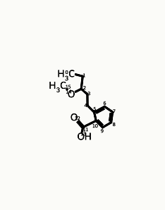 CCC(CCc1ccccc1C(=O)O)OC